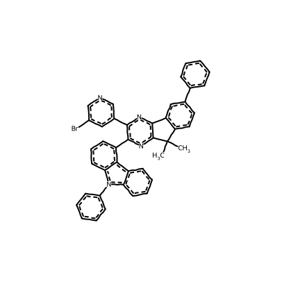 CC1(C)c2ccc(-c3ccccc3)cc2-c2nc(-c3cncc(Br)c3)c(-c3cccc4c3c3ccccc3n4-c3ccccc3)nc21